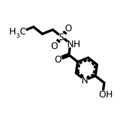 CCCCS(=O)(=O)NC(=O)c1ccc(CO)nc1